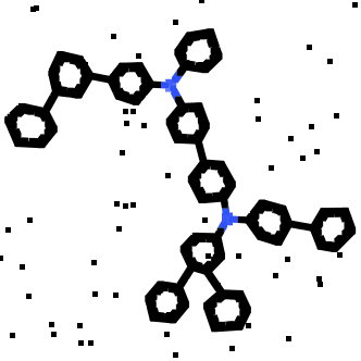 c1ccc(-c2ccc(N(c3ccc(-c4ccc(N(c5ccccc5)c5ccc(-c6cccc(-c7ccccc7)c6)cc5)cc4)cc3)c3ccc(-c4ccccc4)c(-c4ccccc4)c3)cc2)cc1